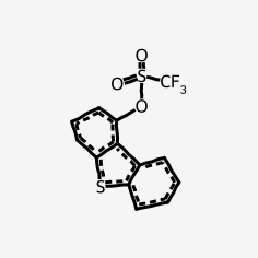 O=S(=O)(Oc1cccc2sc3ccccc3c12)C(F)(F)F